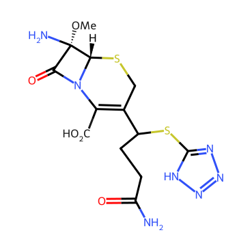 CO[C@@]1(N)C(=O)N2C(C(=O)O)=C(C(CCC(N)=O)Sc3nnn[nH]3)CS[C@H]21